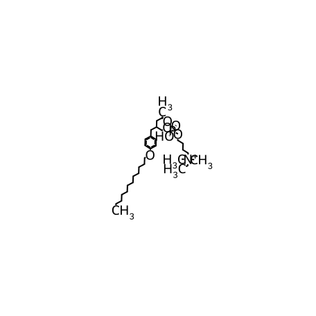 CCCCCCCCCCCCOc1ccc(CC(COP(=O)(O)OCCCC[N+](C)(C)CC)CC(C)=O)cc1